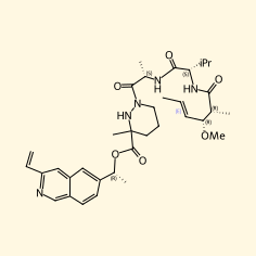 C=Cc1cc2cc([C@@H](C)OC(=O)C3(C)CCCN(C(=O)[C@H](C)NC(=O)[C@@H](NC(=O)[C@H](C)[C@@H](/C=C/C)OC)C(C)C)N3)ccc2cn1